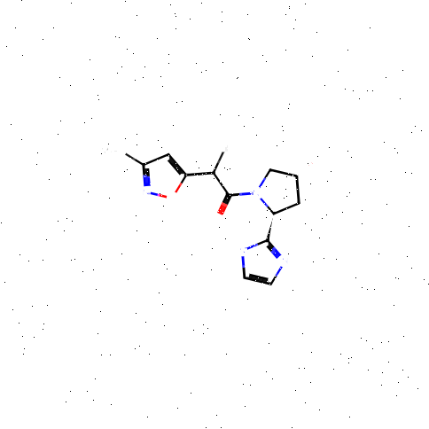 COc1cc(C(C(=O)N2C[C@H](O)C[C@H]2c2ncc[nH]2)C(C)C)on1